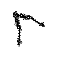 C=CC(=O)OCCCCCCCCOc1ccc(C(=O)Oc2ccc(C(=O)O[C@@H]3OCCO[C@H]3OC(=O)c3ccc(OC(=O)c4ccc(OCCCCCCCCOC(=O)C=C)cc4)cc3)cc2)cc1